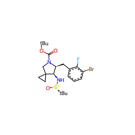 CC(C)(C)OC(=O)N1CC2(CC2)[C@H](N[S@+]([O-])C(C)(C)C)[C@@H]1Cc1cccc(Br)c1F